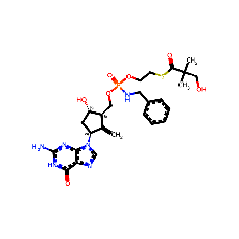 C=C1[C@H](COP(=O)(NCc2ccccc2)OCCSC(=O)C(C)(C)CO)[C@@H](O)C[C@@H]1n1cnc2c(=O)[nH]c(N)nc21